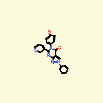 O=c1c2cn(-c3ccccc3)nc2nc(-c2cccnc2)n1-c1ccc(Br)cc1